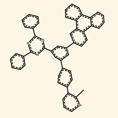 Cc1ncccc1-c1ccc(-c2cc(-c3ccc4c5ccccc5c5ccccc5c4c3)cc(-c3nc(-c4ccccc4)nc(-c4ccccc4)n3)c2)cc1